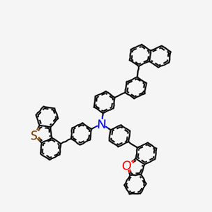 c1cc(-c2cccc(N(c3ccc(-c4cccc5c4oc4ccccc45)cc3)c3ccc(-c4cccc5sc6ccccc6c45)cc3)c2)cc(-c2cccc3ccccc23)c1